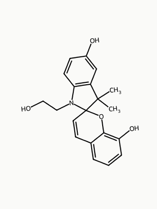 CC1(C)c2cc(O)ccc2N(CCO)C12C=Cc1cccc(O)c1O2